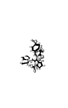 CC[Si](CC)(CC)OCC1C(N(Cc2ccc(OC)cc2)C(=O)C(F)(F)F)[C@H]2CCC[C@H]2N1C(=O)O